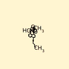 CCCCC#Cc1ccc2c3c(cccc13)C(O)N(OS(C)(=O)=O)C2=O